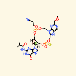 COCc1ncc2nc3n(c2n1)CCOP(=S)(OCCC#N)OC[C@H]1O[C@@H](n2cnc4c(=O)[nH]c(NC(=O)C(C)C)nc42)[C@H](OP(=O)(S)OC3)[C@@H]1F